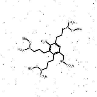 CC(C)(C)ON(CCCc1cc(CNC(=O)O)c(CCCN(OC(C)(C)C)C(=O)O)c(CCCN(OC(C)(C)C)C(=O)O)c1[N+](=O)[O-])C(=O)O